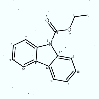 CCOC(=O)n1c2ccccc2c2ccccc21